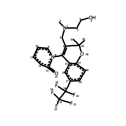 CN(CCO)CC1=C(n2ccccc2=O)c2cc(C(F)(F)C(F)(F)F)ccc2OC1(C)C